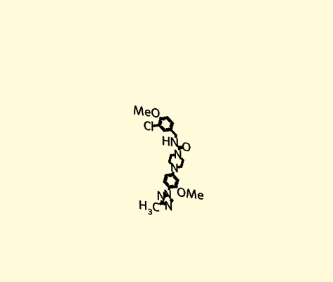 COc1ccc(CNC(=O)N2CCN(c3ccc(-n4cnc(C)n4)c(OC)c3)CC2)cc1Cl